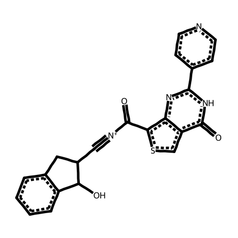 O=C([N+]#CC1Cc2ccccc2C1O)c1scc2c(=O)[nH]c(-c3ccncc3)nc12